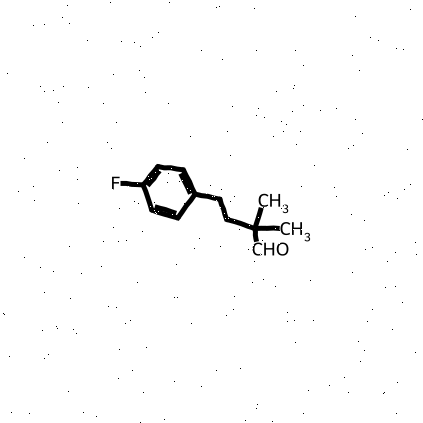 CC(C)(C=O)CCc1ccc(F)cc1